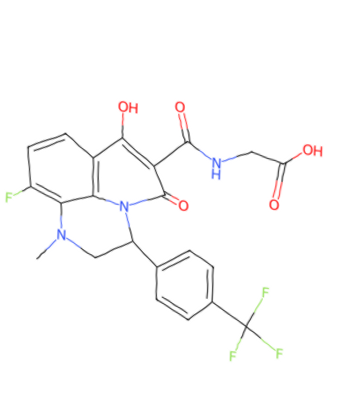 CN1CC(c2ccc(C(F)(F)F)cc2)n2c(=O)c(C(=O)NCC(=O)O)c(O)c3ccc(F)c1c32